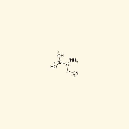 N#CC[C@@H](N)B(O)O